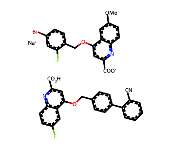 COc1ccc2nc(C(=O)[O-])cc(OCc3ccc(Br)cc3F)c2c1.N#Cc1ccccc1-c1ccc(COc2cc(C(=O)O)nc3ccc(F)cc23)cc1.[Na+]